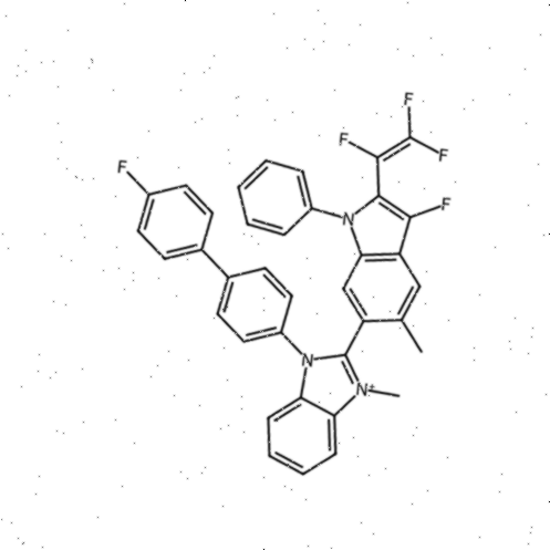 Cc1cc2c(F)c(C(F)=C(F)F)n(-c3ccccc3)c2cc1-c1n(-c2ccc(-c3ccc(F)cc3)cc2)c2ccccc2[n+]1C